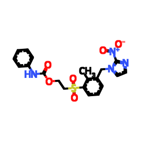 Cc1c(Cn2ccnc2[N+](=O)[O-])cccc1S(=O)(=O)CCOC(=O)Nc1ccccc1